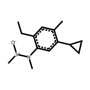 CCc1cc(C)c(C2CC2)cc1N(C)[S+](C)[O-]